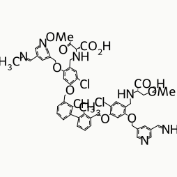 C/N=C/c1cncc(COc2cc(OCc3cccc(-c4cccc(COc5cc(OCc6cncc(C=N)c6)c(CN[C@@H](COC)C(=O)O)cc5Cl)c4C)c3C)c(Cl)cc2CN[C@H](C(=O)O)C(=O)OC)c1